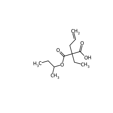 C=CCC(CC)(C(=O)O)C(=O)OC(C)CC